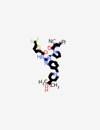 CC(C)/C=C(\C#N)C(=O)N1CCC[C@@H]1Cn1c(NC(=O)c2ccc(C(F)F)s2)nc2cc(CN3CCC(C(C)(C)O)CC3)ccc21